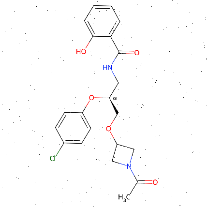 CC(=O)N1CC(OC[C@H](CNC(=O)c2ccccc2O)Oc2ccc(Cl)cc2)C1